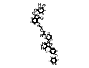 Nc1ncnc2c1c(-c1ccc(Oc3ccccc3)cc1)nn2[C@@H]1CCCN(C(=O)COCCSc2cccc3c2C(=O)N(C2CCC(=O)NC2=O)C3=O)C1